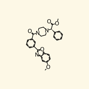 COC(=O)[C@@H](c1ccccc1)N1CCN(C(=O)c2cccc(-c3nc4cc(OC)ccc4o3)c2)CC1